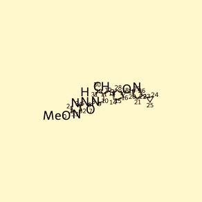 COc1cnc(NC(=O)N2CC/C(=C\c3cccc(Oc4ccc(C5CC5)cn4)c3)C(C)C2)cn1